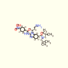 CC(C)CN(CC(C)C)C(=O)c1ccc2nc(NC(=O)c3ccc([N+](=O)O)cc3)n(CCCN)c2c1